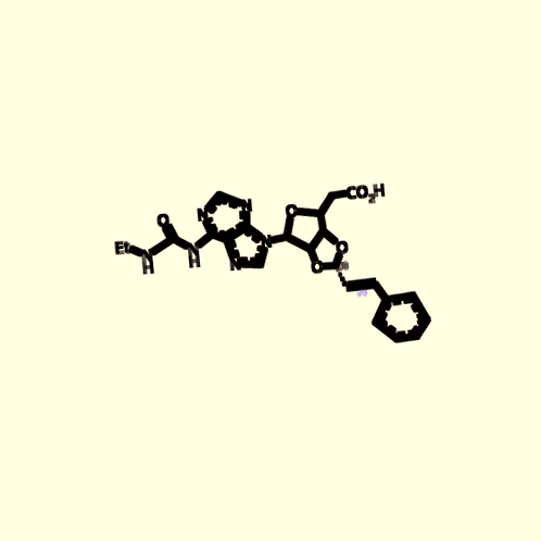 CCNC(=O)Nc1ncnc2c1ncn2C1OC(CC(=O)O)C2O[C@H](/C=C/c3ccccc3)OC21